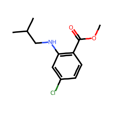 COC(=O)c1ccc(Cl)cc1NCC(C)C